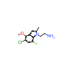 COc1c(Cl)cc(F)c2c1cc(C)n2CCN